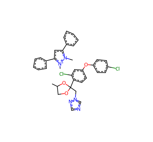 CC1COC(Cn2cncn2)(c2ccc(Oc3ccc(Cl)cc3)cc2Cl)O1.Cn1c(-c2ccccc2)cc(-c2ccccc2)[n+]1C